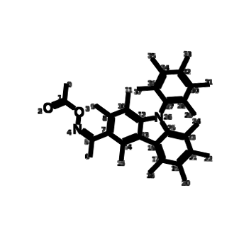 CC(=O)O/N=C(/C)c1c(C)c(C)c2c(c1C)c1c(C)c(C)c(C)c(C)c1n2-c1c(C)c(C)c(C)c(C)c1C